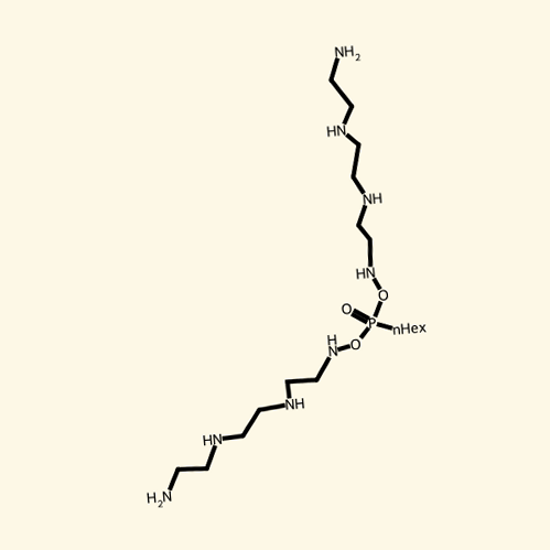 CCCCCCP(=O)(ONCCNCCNCCN)ONCCNCCNCCN